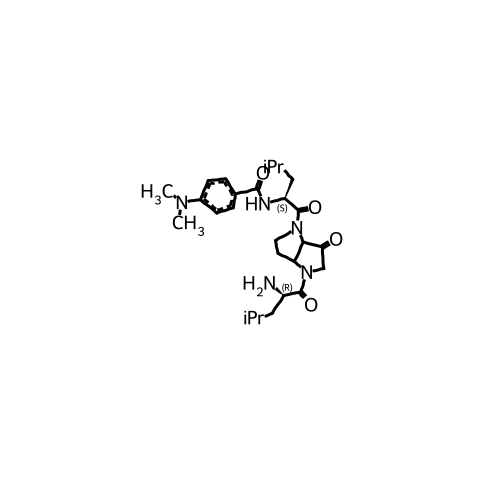 CC(C)C[C@@H](N)C(=O)N1CC(=O)C2C1CCN2C(=O)[C@H](CC(C)C)NC(=O)c1ccc(N(C)C)cc1